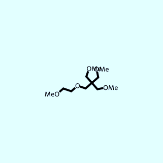 COCCOCC(COC)(COC)COC